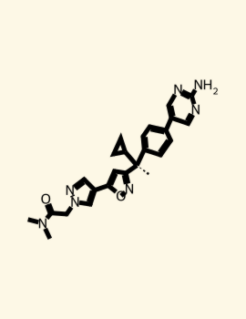 CN(C)C(=O)Cn1cc(-c2cc([C@](C)(c3ccc(-c4cnc(N)nc4)cc3)C3CC3)no2)cn1